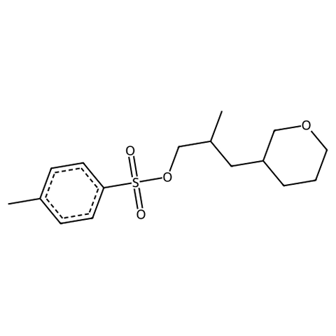 Cc1ccc(S(=O)(=O)OCC(C)CC2CCCOC2)cc1